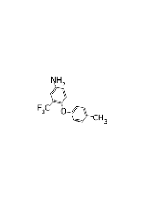 Cc1ccc(Oc2ccc(N)cc2C(F)(F)F)cc1